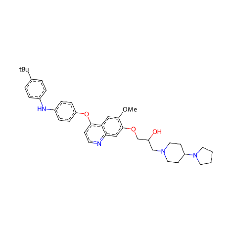 COc1cc2c(Oc3ccc(Nc4ccc(C(C)(C)C)cc4)cc3)ccnc2cc1OCC(O)CN1CCC(N2CCCC2)CC1